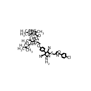 CC(C)C(NC(=O)OC(C)(C)C)C(=O)O[C@H](COC(=O)[C@@H](NC(=O)OC(C)(C)C)C(C)C)COc1ccc(-c2c(C#N)c(N)nc(SCc3coc(-c4ccc(Cl)cc4)n3)c2C#N)cc1